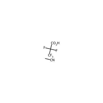 CC#N.O=C(O)C(F)(F)C(F)(F)F